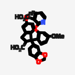 CCCOc1ccc2c(c1)CC(C(=O)O)C2(c1ccc2c(c1)OCO2)c1ccc(OC)cc1Oc1ncccc1C(=O)O